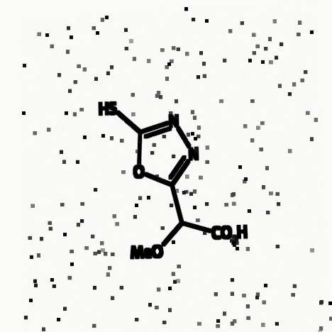 COC(C(=O)O)c1nnc(S)o1